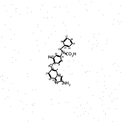 Nc1cn2cc(Oc3ccc(N(Cc4ccccc4)C(=O)O)cc3F)ccc2n1